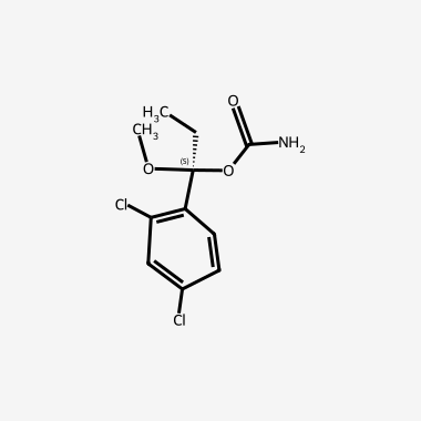 CC[C@](OC)(OC(N)=O)c1ccc(Cl)cc1Cl